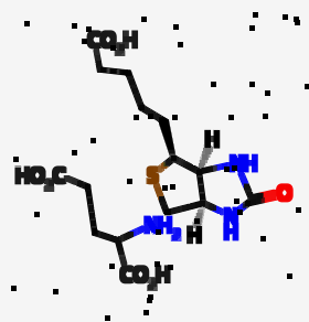 NC(CCC(=O)O)C(=O)O.O=C(O)CCCC[C@@H]1SC[C@@H]2NC(=O)N[C@@H]21